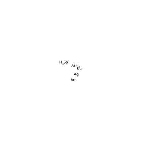 [Ag].[AsH3].[Au].[Cu].[SbH3]